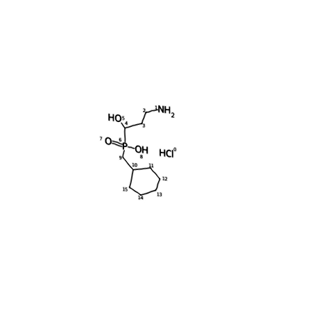 Cl.NCCC(O)P(=O)(O)CC1CCCCC1